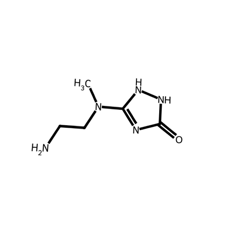 CN(CCN)c1nc(=O)[nH][nH]1